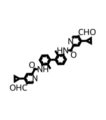 Cc1c(NC(=O)c2cc(C3CC3)c(C=O)cn2)cccc1-c1cccc(NC(=O)c2cc(C3CC3)c(C=O)cn2)c1C